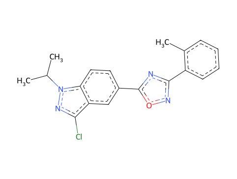 Cc1ccccc1-c1noc(-c2ccc3c(c2)c(Cl)nn3C(C)C)n1